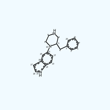 c1ccc(CC2CNCCN2c2ccc3[nH]ccc3c2)cc1